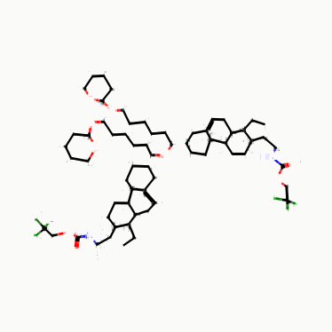 C[C@H](NC(=O)OCC(Cl)(Cl)Cl)[C@H]1CCC2C3CC=C4C[C@@H](C(CCCCCOC5CCCCO5)OC(CCCCCOC5CCCCO5)[C@H]5CC[C@@]6(C)C(=CCC7C6CC[C@@]6(C)C7CC[C@@H]6[C@H](C)NC(=O)OCC(Cl)(Cl)Cl)C5)CC[C@]4(C)C3CC[C@@]21C